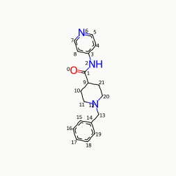 O=C(Nc1ccncc1)C1CCN(Cc2ccccc2)CC1